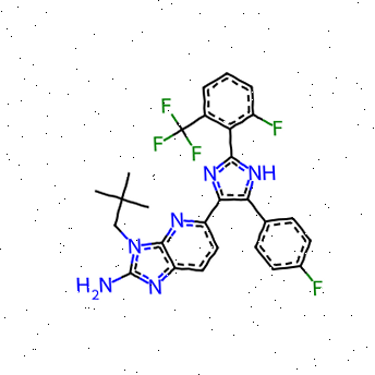 CC(C)(C)Cn1c(N)nc2ccc(-c3nc(-c4c(F)cccc4C(F)(F)F)[nH]c3-c3ccc(F)cc3)nc21